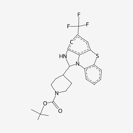 CC(C)(C)OC(=O)N1CCC(C2Nc3cc(C(F)(F)F)cc4c3N2c2ccccc2S4)CC1